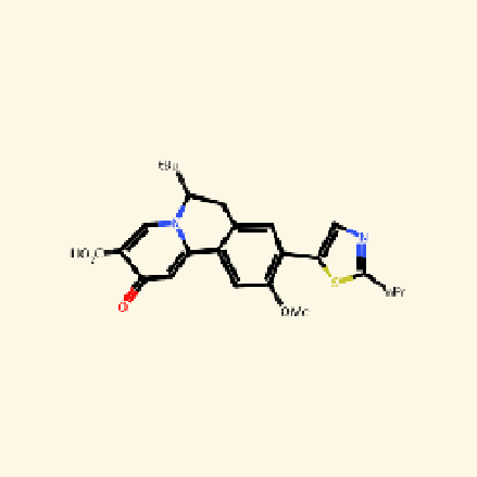 CCCc1ncc(-c2cc3c(cc2OC)-c2cc(=O)c(C(=O)O)cn2C(C(C)(C)C)C3)s1